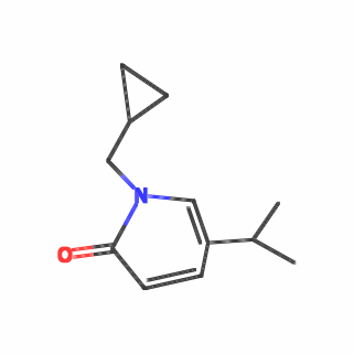 CC(C)c1ccc(=O)n(CC2CC2)c1